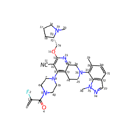 C=C(F)C(=O)N1CCN(c2c(C#N)c(OC[C@@H]3CCCN3C)nc3c2CCN(c2c(C)ccc4cnn(C)c24)C3)CC1